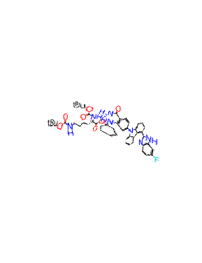 CC(C)(C)OC(=O)NCCCC[C@H](NC(=O)OC(C)(C)C)C(=O)OC1(Nc2cc(-n3c4ccccc4c4c(-c5nc6ccc(F)cc6[nH]5)cccc43)ccc2C(N)=O)CCCCC1